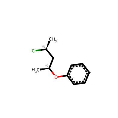 C[C@H](Cl)C[C@H](C)Oc1cc[c]cc1